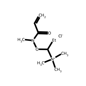 C=CC(=O)N(C)OC(CC)[N+](C)(C)C.[Cl-]